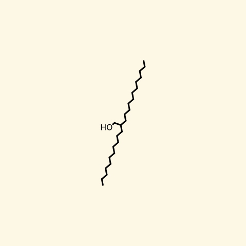 CCCCCCCCCCCCC(CO)CCCCCCCCCCC